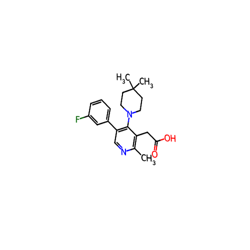 Cc1ncc(-c2cccc(F)c2)c(N2CCC(C)(C)CC2)c1CC(=O)O